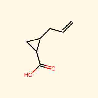 C=CCC1CC1C(=O)O